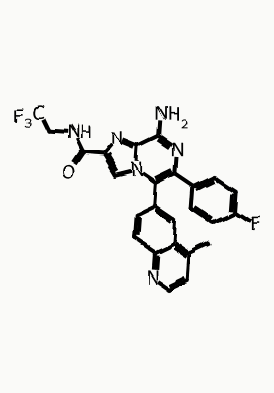 Cc1ccnc2ccc(-c3c(-c4ccc(F)cc4)nc(N)c4nc(C(=O)NCC(F)(F)F)cn34)cc12